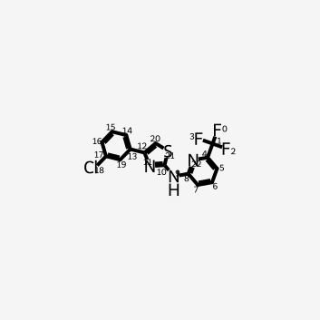 FC(F)(F)c1cccc(Nc2nc(-c3cccc(Cl)c3)cs2)n1